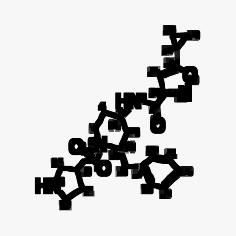 O=C(N[C@@H]1CCN(S(=O)(=O)C2CCNC2)[C@H](Cc2ccccc2)C1)c1cc(C2CC2)on1